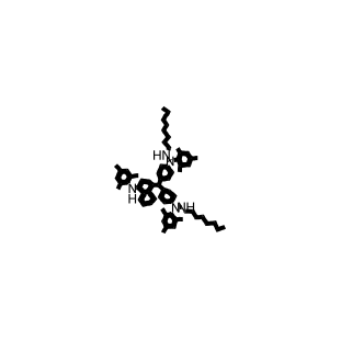 CCCCCCCCNN(c1ccc(C(c2ccc(N(NCCCCCCCC)c3c(C)cc(C)cc3C)cc2)c2ccc(Nc3c(C)cc(C)cc3C)c3ccccc23)cc1)c1c(C)cc(C)cc1C